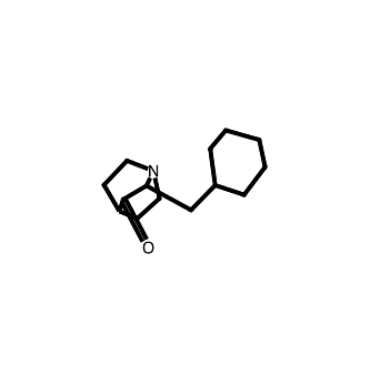 O=C1C2CCN(CC2)C1CC1CCCCC1